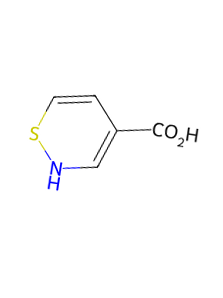 O=C(O)C1=CNSC=C1